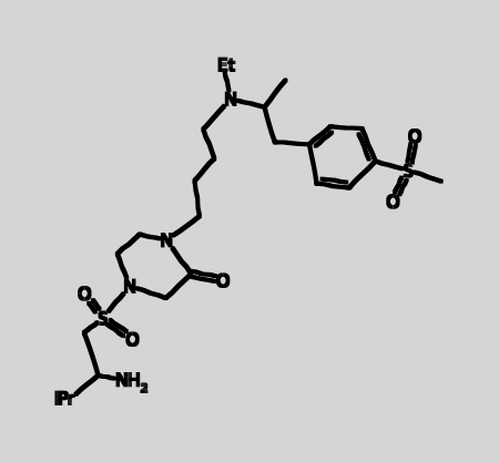 CCN(CCCCN1CCN(S(=O)(=O)CC(N)C(C)C)CC1=O)C(C)Cc1ccc(S(C)(=O)=O)cc1